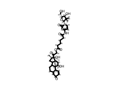 C[C@@H]1CC2C3CCC4=CC(=O)C=C[C@]4(C)[C@@]3(F)[C@@H](O)C[C@]2(C)[C@@]1(O)C(=O)COC(=O)CCCCC(=O)Nc1ccn([C@@H]2O[C@H](CO)[C@@H](O)C2(F)F)c(=O)n1